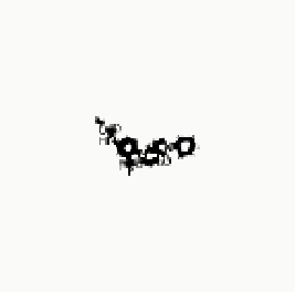 CCOC(=O)Nc1ccc(N2CCC[C@]3(CCN(C4CCCCC4)C3=O)C2)c(C(F)(F)F)c1